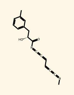 CN=C=C=CC=C=C=NC(=O)[C@H](O)Cc1cccc(C)c1